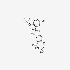 O=C1NC2(CC2)COc2ncc(NS(=O)(=O)c3cc(F)ccc3OC(F)(F)F)cc21